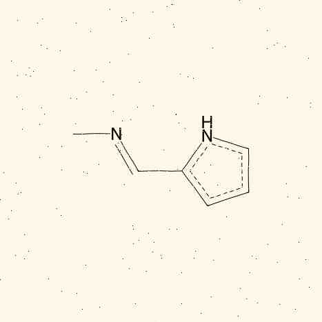 C/N=C/c1ccc[nH]1